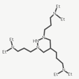 CCN(CC)CCCC1CN(CCCN(CC)CC)NN(CCCN(CC)CC)C1